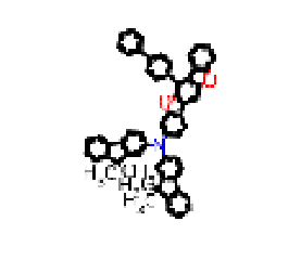 CC1(C)c2ccccc2-c2ccc(N(c3ccc4c(c3)C(C)(C)c3ccccc3-4)c3ccc4c(c3)oc3c(-c5ccc(-c6ccccc6)cc5)c5c(cc34)oc3ccccc35)cc21